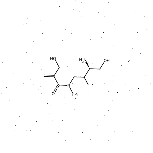 C=C(CO)C(=O)N(CCC)CC(C)[C@@H](N)CO